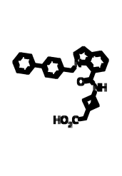 O=C(O)CC12CC(NC(=O)c3cccc4ccn(Cc5ccc(-c6ccccc6)cc5)c34)(C1)C2